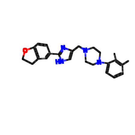 Cc1cccc(N2CCN(Cc3c[nH]c(-c4ccc5c(c4)CCO5)n3)CC2)c1C